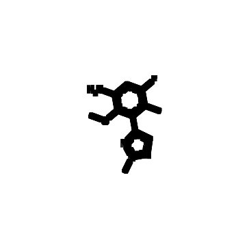 COc1c(N)cc(F)c(C)c1-c1cnn(C)n1